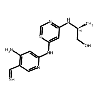 C[C@@H](CO)Nc1cc(Nc2cc(N)c(C=N)cn2)ncn1